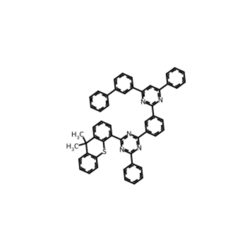 CC1(C)c2ccccc2Sc2c(-c3nc(-c4ccccc4)nc(-c4cccc(-c5nc(-c6ccccc6)cc(-c6cccc(-c7ccccc7)c6)n5)c4)n3)cccc21